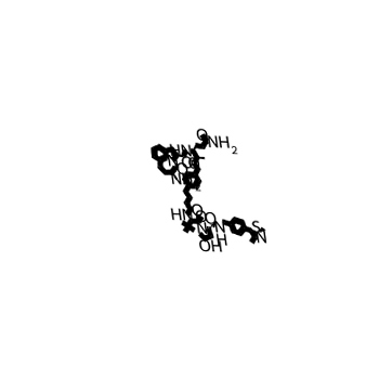 Cc1ncsc1-c1ccc(CNC(=O)[C@@H]2C[C@@H](O)CN2C(=O)[C@@H](NC(=O)CCCc2ccc(CO[C@H](C)[C@H](CCC(N)=O)NC(=O)[C@@H]3Cc4cccc5c4N3C(=O)[C@@H](N)CC5)cc2)C(C)(C)C)cc1